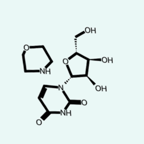 C1COCCN1.O=c1ccn([C@@H]2O[C@H](CO)[C@@H](O)[C@H]2O)c(=O)[nH]1